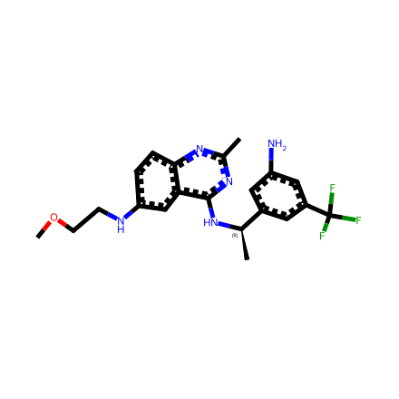 COCCNc1[c]cc2nc(C)nc(N[C@H](C)c3cc(N)cc(C(F)(F)F)c3)c2c1